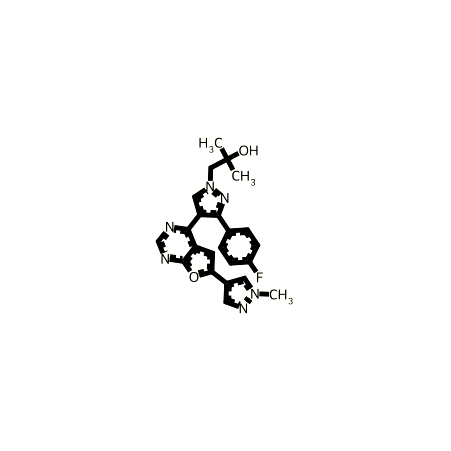 Cn1cc(-c2cc3c(-c4cn(CC(C)(C)O)nc4-c4ccc(F)cc4)ncnc3o2)cn1